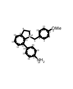 COc1ccc(CN2CCc3cccc(-c4ccc(N)cc4)c32)cc1